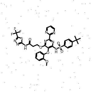 COc1ccccc1Oc1c(NS(=O)(=O)c2ccc(C(C)(C)C)cc2)nc(-c2ncccn2)nc1OCCC(=O)Nc1nnc(C(F)(F)F)s1